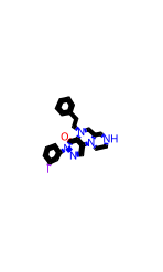 O=c1c2c(cnn1-c1cccc(I)c1)N1CCNCC1CN2CCc1ccccc1